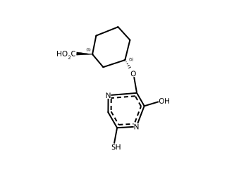 O=C(O)[C@H]1CCC[C@H](Oc2ncc(S)nc2O)C1